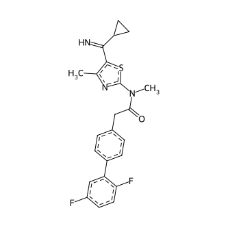 Cc1nc(N(C)C(=O)Cc2ccc(-c3cc(F)ccc3F)cc2)sc1C(=N)C1CC1